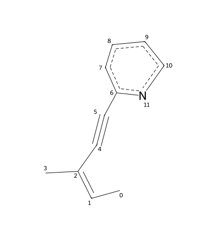 C/C=C(/C)C#Cc1ccccn1